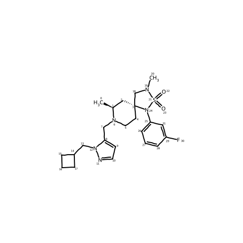 C[C@H]1C[C@]2(CCN1Cc1ccnn1CC1CCC1)CN(C)S(=O)(=O)N2c1cccc(F)c1